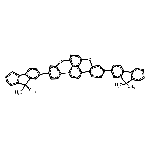 CC1(C)c2ccccc2-c2ccc(-c3ccc4c(c3)Oc3ccc5c6c(ccc-4c36)-c3ccc(-c4ccc6c(c4)C(C)(C)c4ccccc4-6)cc3O5)cc21